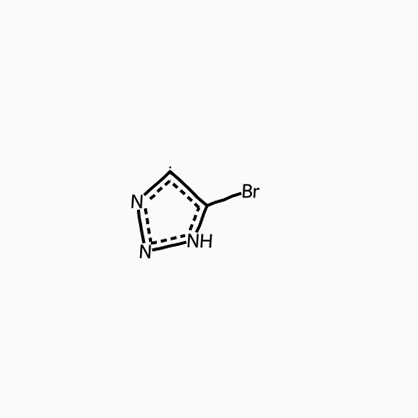 Brc1[c]nn[nH]1